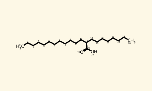 CCCCCCCCCCCCC(CCCCCCCC)C(=O)O